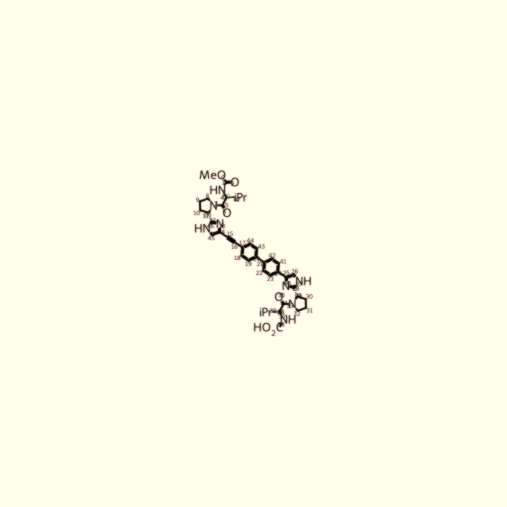 COC(=O)N[C@H](C(=O)N1CCC[C@H]1c1nc(C#Cc2ccc(-c3ccc(-c4c[nH]c([C@@H]5CCCN5C(=O)[C@@H](NC(=O)O)C(C)C)n4)cc3)cc2)c[nH]1)C(C)C